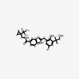 CC(C)(CO)c1cc(F)cc(Cc2nc3cc(C(=O)NCC4(C(F)(F)F)CC4)ccc3[nH]2)c1O